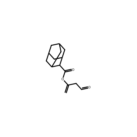 C=C(CC=O)OC(=O)C1C2CC3CC(C2)CC1C3